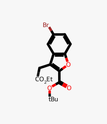 CCOC(=O)Cc1c(C(=O)OC(C)(C)C)oc2ccc(Br)cc12